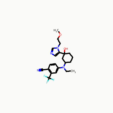 CCN(c1ccc(C#N)c(C(F)(F)F)c1)C1CCCC(O)(c2cncn2CCOC)C1